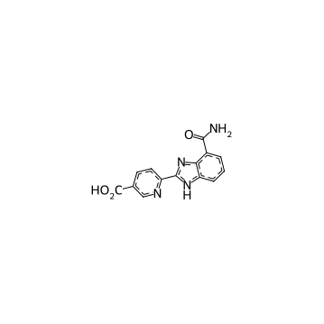 NC(=O)c1cccc2[nH]c(-c3ccc(C(=O)O)cn3)nc12